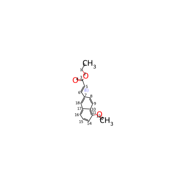 CCOC(=O)/C=C/c1ccc2c(OC)cccc2c1